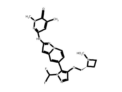 Cc1cc(Nc2cc3cc(-c4c(OC[C@H]5CCN5C(=O)O)cnn4C(F)F)ccn3n2)nn(C)c1=O